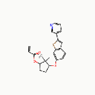 C=CC(=O)OC1CCC(Oc2ccc3cc(-c4cccnc4)sc3c2)C1(C)C(F)(F)F